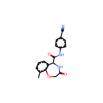 Cc1cccc2c1OCC(=O)NC2C(=O)Nc1ccc(C#N)cc1